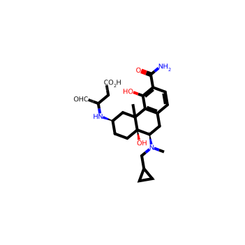 CN(CC1CC1)[C@@H]1Cc2ccc(C(N)=O)c(O)c2C2(C)C[C@H](NC(C=O)CC(=O)O)CC[C@@]12O